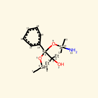 CCC(O)(CC)[Si](O[SiH](C)C)(O[Si](C)(C)N)c1ccccc1